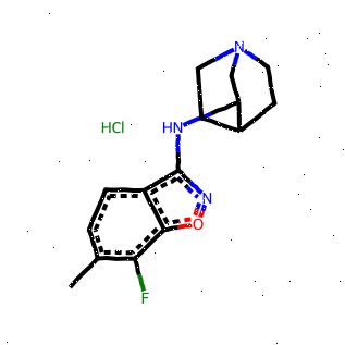 Cc1ccc2c(NC3CN4CCC3CC4)noc2c1F.Cl